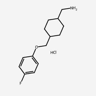 Cl.NCC1CCC(COc2ccc(F)cc2)CC1